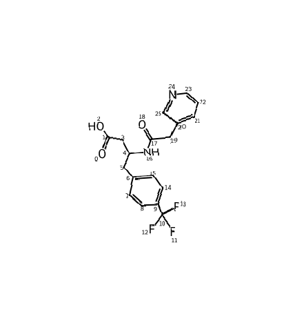 O=C(O)CC(Cc1ccc(C(F)(F)F)cc1)NC(=O)Cc1cccnc1